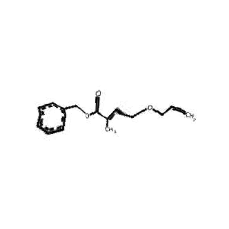 C=CCOC/C=C(\C)C(=O)OCc1ccccc1